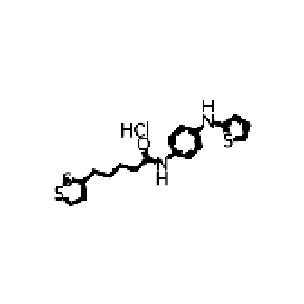 Cl.O=C(CCCCC1CCSS1)Nc1ccc(Nc2cccs2)cc1